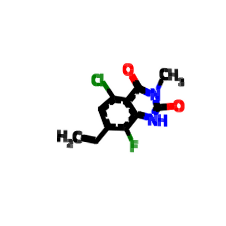 C=Cc1cc(Cl)c2c(=O)n(C)c(=O)[nH]c2c1F